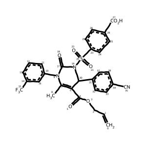 C=CCOC(=O)C1=C(C)N(c2cccc(C(F)(F)F)c2)C(=O)N(S(=O)(=O)c2ccc(C(=O)O)cc2)C1c1ccc(C#N)cc1